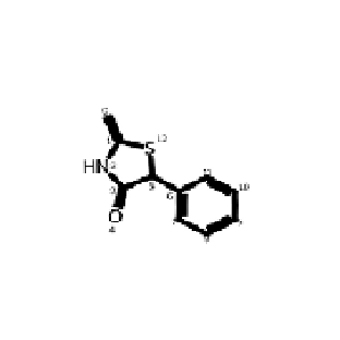 C=C1NC(=O)C(c2ccccc2)S1